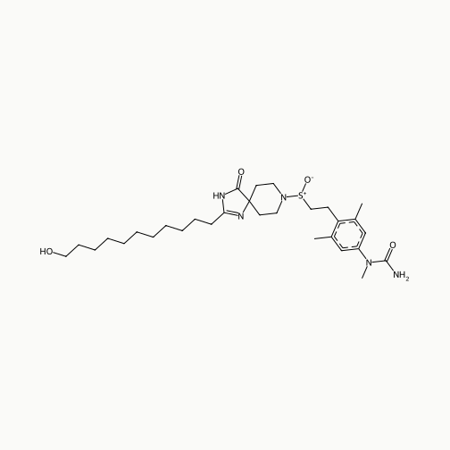 Cc1cc(N(C)C(N)=O)cc(C)c1CC[S+]([O-])N1CCC2(CC1)N=C(CCCCCCCCCCCO)NC2=O